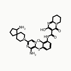 Nc1nc(N2CCC3(CCCC3N)CC2)cnc1Sc1cccc(NC(=O)c2c(O)nc3n(c2=O)CCCC3)c1Cl